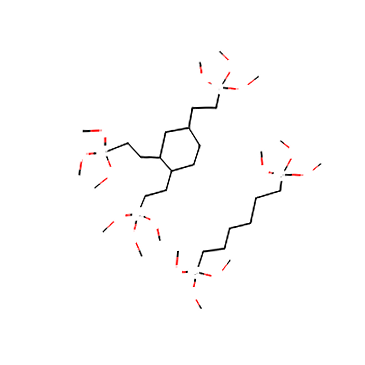 CO[Si](CCC1CCC(CC[Si](OC)(OC)OC)C(CC[Si](OC)(OC)OC)C1)(OC)OC.CO[Si](CCCCCC[Si](OC)(OC)OC)(OC)OC